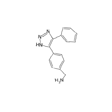 NCc1ccc(-c2[nH]nnc2-c2ccccc2)cc1